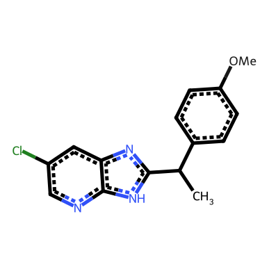 COc1ccc(C(C)c2nc3cc(Cl)cnc3[nH]2)cc1